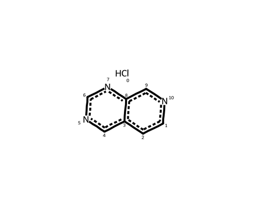 Cl.c1cc2cncnc2cn1